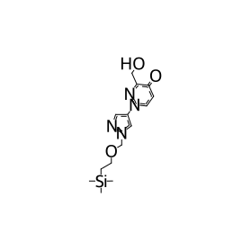 C[Si](C)(C)CCOCn1cc(-n2ccc(=O)c(CO)n2)cn1